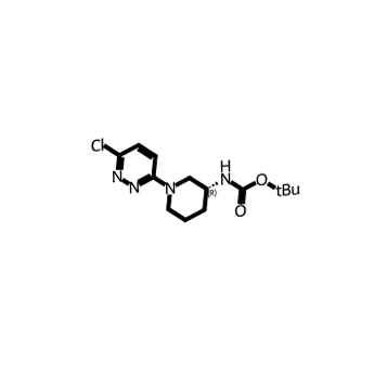 CC(C)(C)OC(=O)N[C@@H]1CCCN(c2ccc(Cl)nn2)C1